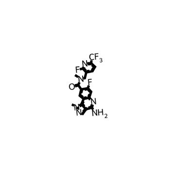 CN(Cc1ccc(C(F)(F)F)nc1F)C(=O)c1cc2c(cc1F)nc(N)c1cnn(C)c12